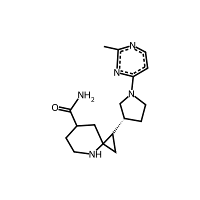 Cc1nccc(N2CC[C@H](C3CC34CC(C(N)=O)CCN4)C2)n1